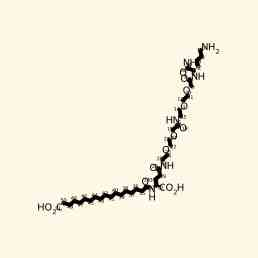 NCCCC[C@H](NC(=O)COCCOCCNC(=O)COCCOCCNC(=O)CC[C@H](NC(=O)CCCCCCCCCCCCCCCCC(=O)O)C(=O)O)C(N)=O